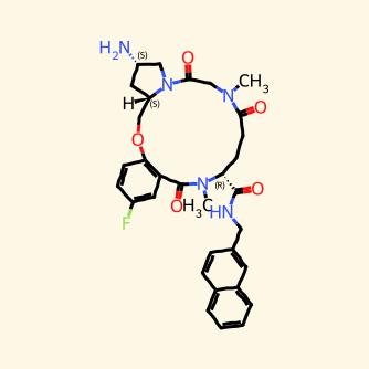 CN1CC(=O)N2C[C@@H](N)C[C@H]2COc2ccc(F)cc2C(=O)N(C)[C@@H](C(=O)NCc2ccc3ccccc3c2)CCC1=O